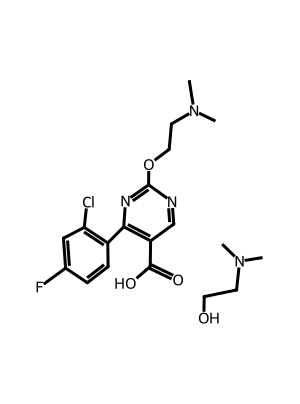 CN(C)CCO.CN(C)CCOc1ncc(C(=O)O)c(-c2ccc(F)cc2Cl)n1